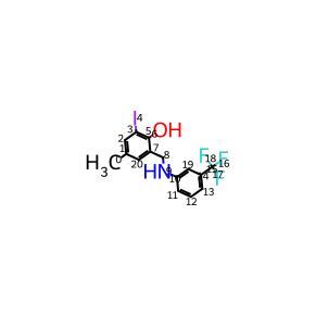 Cc1cc(I)c(O)c(CNc2cccc(C(F)(F)F)c2)c1